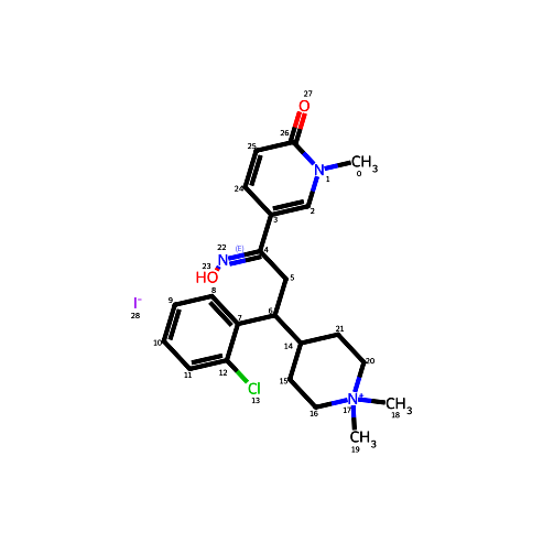 Cn1cc(/C(CC(c2ccccc2Cl)C2CC[N+](C)(C)CC2)=N/O)ccc1=O.[I-]